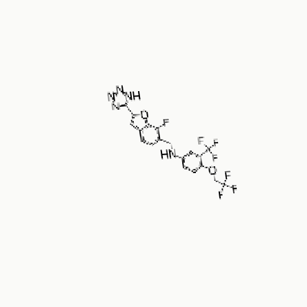 Fc1c(CNc2ccc(OCC(F)(F)F)c(C(F)(F)F)c2)ccc2cc(-c3nnn[nH]3)oc12